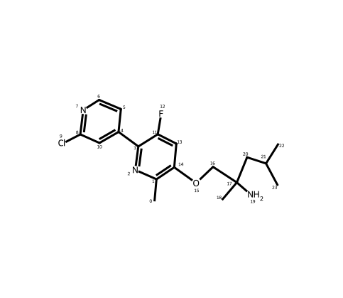 Cc1nc(-c2ccnc(Cl)c2)c(F)cc1OCC(C)(N)CC(C)C